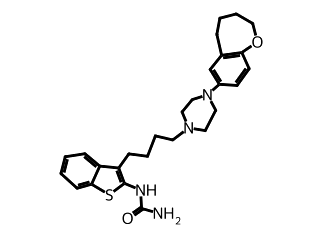 NC(=O)Nc1sc2ccccc2c1CCCCN1CCN(c2ccc3c(c2)CCCCO3)CC1